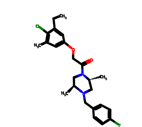 CCc1cc(OCC(=O)N2C[C@H](C)N(Cc3ccc(F)cc3)C[C@H]2C)cc(C)c1Cl